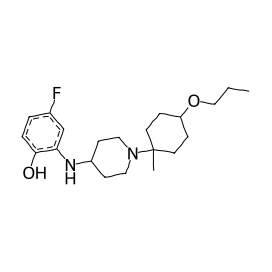 CCCOC1CCC(C)(N2CCC(Nc3cc(F)ccc3O)CC2)CC1